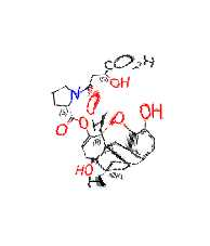 O=C(O)[C@@H](O)CC(=O)N1CCC[C@H]1C(=O)OC1=CC[C@@]2(O)[C@@H]3CCC[C@@]24c2c(ccc(O)c2O[C@@H]14)C3